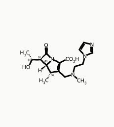 C[C@@H](O)[C@H]1C(=O)N2C(C(=O)O)=C(CN(C)CCn3ccnc3)[C@H](C)[C@H]12